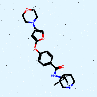 O=C(N[C@H]1CN2CCC1CC2)c1ccc(Oc2cc(N3CCOCC3)co2)cc1